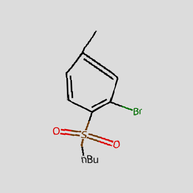 CCCCS(=O)(=O)c1ccc(C)cc1Br